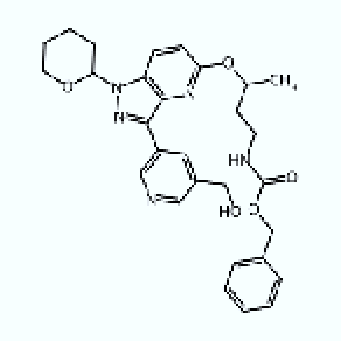 CC(CCNC(=O)OCc1ccccc1)Oc1ccc2c(n1)c(-c1cncc(CO)c1)nn2C1CCCCO1